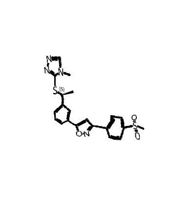 C[C@H](Sc1nncn1C)c1cccc(-c2cc(-c3ccc(S(C)(=O)=O)cc3)no2)c1